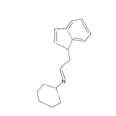 C1=CC(CC=NC2CCCCC2)c2ccccc21